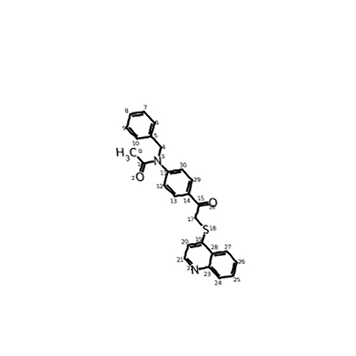 CC(=O)N(Cc1ccccc1)c1ccc(C(=O)CSc2ccnc3ccccc23)cc1